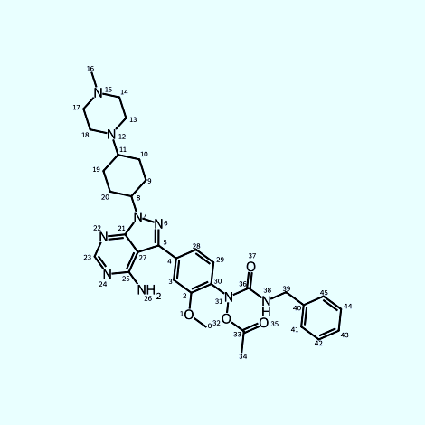 COc1cc(-c2nn(C3CCC(N4CCN(C)CC4)CC3)c3ncnc(N)c23)ccc1N(OC(C)=O)C(=O)NCc1ccccc1